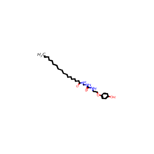 CCCCCCCCCCCCCCCCCC(=O)NCNC(=O)NCCOc1ccc(O)cc1